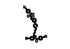 N#Cc1ccc(NC(=O)c2cc3cc(N4CCN(CCCCc5cn(C(=O)c6ccc(C#N)cc6)c6ccc(C#N)cc56)CC4)ccc3o2)cc1